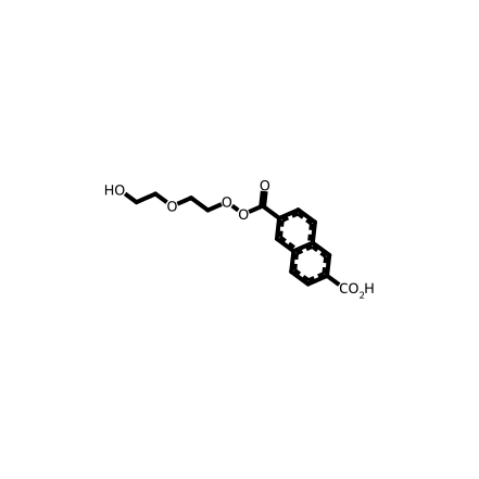 O=C(O)c1ccc2cc(C(=O)OOCCOCCO)ccc2c1